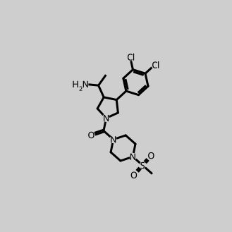 CC(N)C1CN(C(=O)N2CCN(S(C)(=O)=O)CC2)CC1c1ccc(Cl)c(Cl)c1